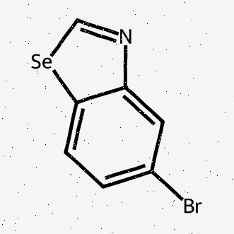 Brc1ccc2[se]cnc2c1